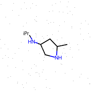 CC(C)NC1CNC(C)C1